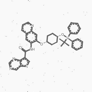 CC(C)(C)[Si](O[C@H]1CC[C@@H](Oc2cc3ncccc3cc2NC(=O)c2csc3cncnc23)CC1)(c1ccccc1)c1ccccc1